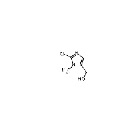 Cn1c(CO)cnc1Cl